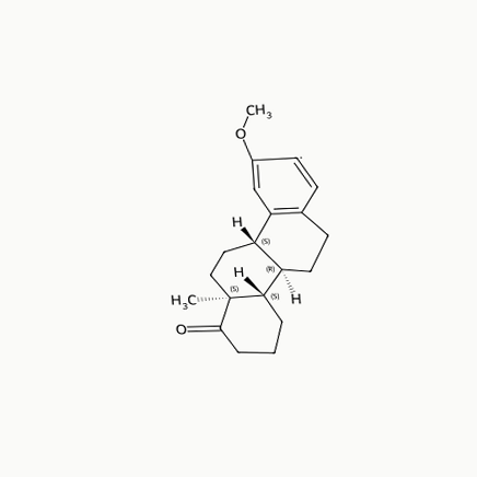 COc1[c]cc2c(c1)[C@H]1CC[C@]3(C)C(=O)CCC[C@H]3[C@@H]1CC2